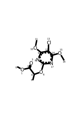 COC(=O)C(C)Oc1nc(OC)c(Cl)c(OC)n1